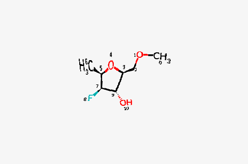 COC[C@@H]1O[C@H](C)[C@H](F)[C@H]1O